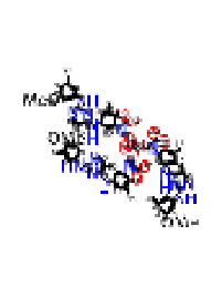 COc1cc(C)cc(Nc2ncc(C)c(Nc3cc(C)c4oc(=O)n(COP(=O)(OCn5c(=O)oc6c(C)cc(Nc7nc(Nc8cc(C)cc(OC)c8)ncc7C)cc65)OCn5c(=O)oc6c(C)cc(Nc7nc(Nc8cc(C)cc(OC)c8)ncc7C)cc65)c4c3)n2)c1